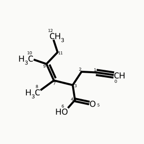 C#CCC(C(=O)O)C(C)=C(C)CC